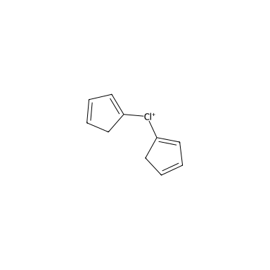 C1=CCC([Cl+]C2=CC=CC2)=C1